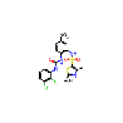 CC(=O)Nc1nc(C)c(S(=O)(=O)Nc2cc([N+](=O)[O-])ccc2NC(=O)Nc2cccc(Cl)c2Cl)s1